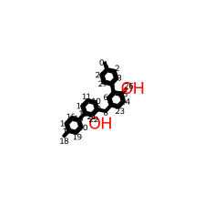 Cc1ccc(-c2cc(Cc3cccc(-c4ccc(C)cc4)c3O)ccc2O)cc1